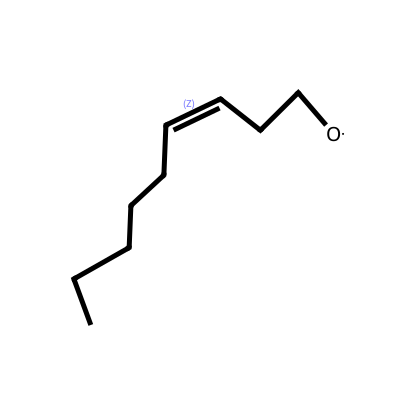 CCCCC/C=C\CC[O]